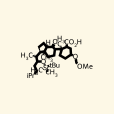 COCOC1CC[C@](C)(C2CC[C@]3(C)[C@@H]([C@H](C)C(CCC(C)C)O[Si](C)(C)C(C)(C)C)CC[C@H]3C2=O)C(C(=O)O)C1